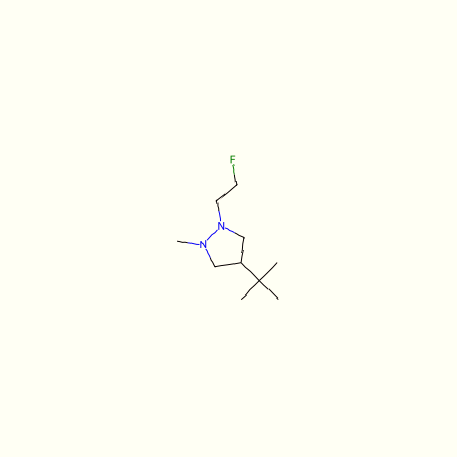 CN1CC(C(C)(C)C)CN1CCF